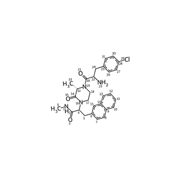 CNC(=O)C(Cc1ccc2ccccc2c1)N1CCN(C(=O)C(N)Cc2ccc(Cl)cc2)[C@@H](C)C1=O